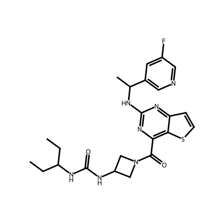 CCC(CC)NC(=O)NC1CN(C(=O)c2nc(NC(C)c3cncc(F)c3)nc3ccsc23)C1